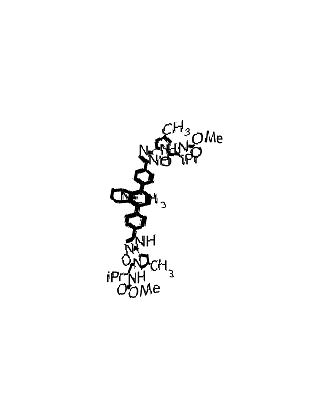 COC(=O)N[C@H](C(=O)N1C[C@H](C)C[C@H]1c1ncc(-c2ccc(-c3ccc(-c4ccc(-c5cnc([C@@H]6C[C@@H](C)CN6C(=O)[C@@H](NC(=O)OC)C(C)C)[nH]5)cc4)c4c3C3CCC4N3C)cc2)[nH]1)C(C)C